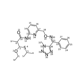 CCOC(SC(C)C)C(C)C(=O)Nc1cccc(CO/N=C(/c2ccccc2)c2nnnn2C)n1